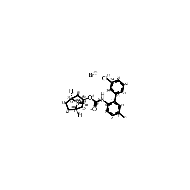 Cc1ccc(NC(=O)O[C@H]2C[C@H]3CC[C@@H](C2)[N+]3(C)C)c(-c2cccc(Cl)c2)c1.[Br-]